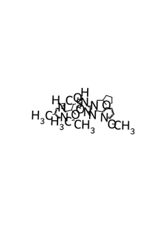 COc1cccc(-c2nnc(NS(=O)(=O)[C@@H](C)[C@@H](OC(C)C)c3ncc(C)cn3)n2CC2CCCO2)n1